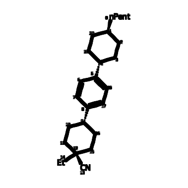 CCCCC[C@H]1CC[C@H](c2ccc([C@H]3CC[C@@](C#N)(CC)CC3)cc2)CC1